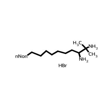 Br.CCCCCCCCCCCCCCCCC(N)C(C)(C)N